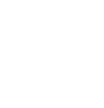 Nc1ccc(-n2ncc3ccc(F)cc32)cc1